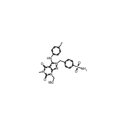 Cn1c(=O)c2c(Nc3ccc(F)cc3)n(Cc3ccc(S(N)(=O)=O)cc3)nc2n(CC(C)(C)C)c1=O